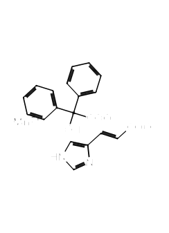 O=C([O-])C(O)(c1ccccc1)c1ccccc1.O=C([O-])C=Cc1c[nH]cn1.[Mn+2]